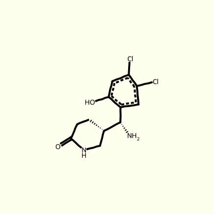 N[C@@H](c1cc(Cl)c(Cl)cc1O)[C@H]1CCC(=O)NC1